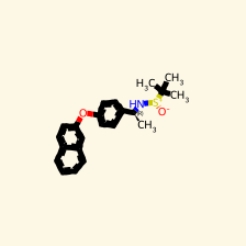 C[C@@H](N[S+]([O-])C(C)(C)C)c1ccc(Oc2ccc3ccccc3c2)cc1